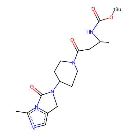 Cc1ncc2n1C(=O)N(C1CCN(C(=O)CC(C)NC(=O)OC(C)(C)C)CC1)C2